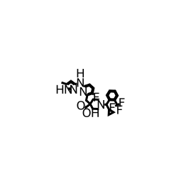 Cc1cc(Nc2ccc(F)c(CC3(C(=O)O)CCN(C(c4ccccc4C(F)(F)F)C4CC4)CC3)n2)n[nH]1